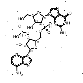 Nc1nc2c(ncn2[C@@H]2O[C@H](CO)[C@@H](O)[C@H]2P(=O)(O)OC[C@H]2O[C@@H](n3cnc4c(N)ccnc43)[C@H](O)[C@@H]2O[PH](=O)O)c(=O)[nH]1